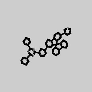 c1ccc(-c2nc(-c3ccccc3)nc(-c3cccc(-c4ccc5c(c4)C4(c6ccccc6-c6ccccc64)c4cc(-c6cccnc6)ccc4-5)c3)n2)cc1